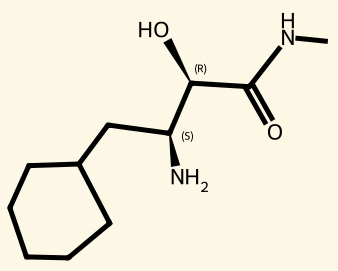 CNC(=O)[C@H](O)[C@@H](N)CC1CCCCC1